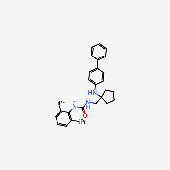 CC(C)c1cccc(C(C)C)c1NC(=O)NCC1(Nc2ccc(-c3ccccc3)cc2)CCCC1